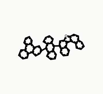 c1ccc2c(c1)ccc1oc3cc(-c4c5ccccc5c(-c5ccc6c7ccccc7c7ccccc7c6c5)c5ccccc45)c4ccccc4c3c12